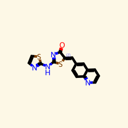 O=C1N=C(Nc2nccs2)S/C1=C\c1ccc2ncccc2c1